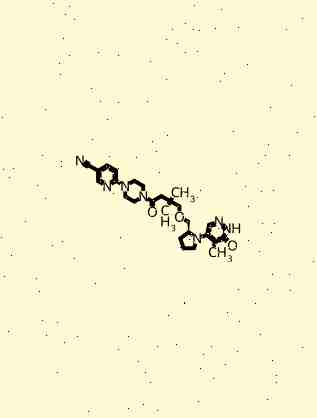 Cc1c(N2CCC[C@H]2COCC(C)(C)CC(=O)N2CCN(c3ccc(C#N)cn3)CC2)cn[nH]c1=O